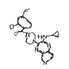 O=C(c1ccc(F)cc1Cl)N1CCN(c2nc3cnccc3nc2NC2CC2)CC1